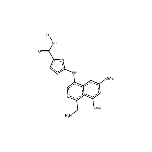 CCNC(=O)c1csc(Nc2cnc(CN)c3c(OC)cc(OC)cc23)n1